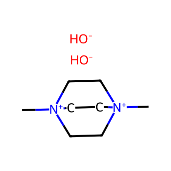 C[N+]12CC[N+](C)(CC1)CC2.[OH-].[OH-]